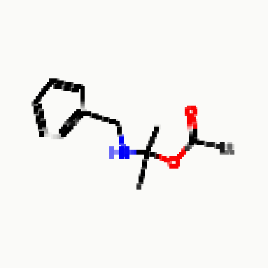 CCC(=O)OC(C)(C)NCc1ccccc1